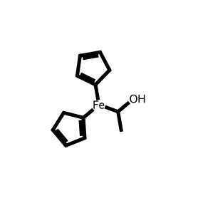 C[CH](O)[Fe]([C]1=CC=CC1)[C]1=CC=CC1